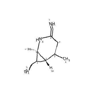 CCCC1[C@H]2C(C)CC(=N)N[C@H]12